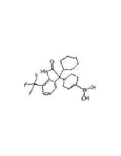 O=C1Nc2c(C(F)(F)F)cccc2C1(C1CCCCC1)N1CC=C(B(O)O)CC1